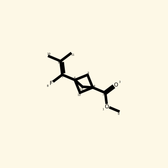 COC(=O)C12CC(C(F)=C(C)C)(C1)C2